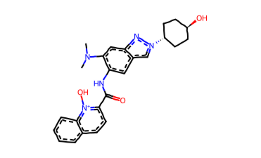 CN(C)c1cc2nn([C@H]3CC[C@H](O)CC3)cc2cc1NC(=O)c1ccc2ccccc2[n+]1O